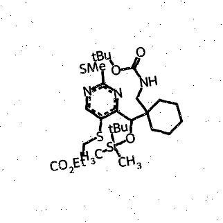 CCOC(=O)CSc1cnc(SC)nc1C(O[Si](C)(C)C(C)(C)C)C1(CNC(=O)OC(C)(C)C)CCCCC1